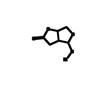 CCOC1OCC2OC(=O)CC21